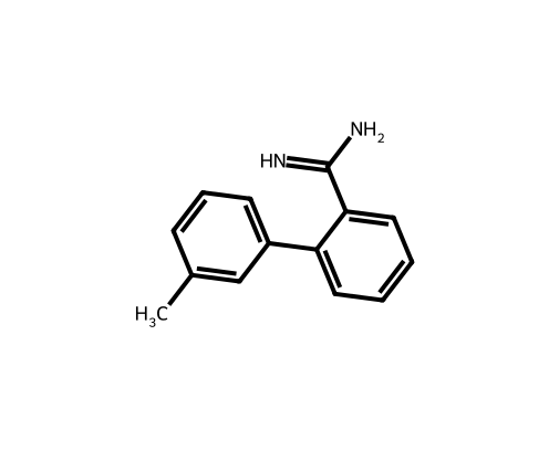 Cc1cccc(-c2ccccc2C(=N)N)c1